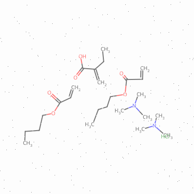 C=C(CC)C(=O)O.C=CC(=O)OCCCC.C=CC(=O)OCCCC.CN(C)C.CN(C)C.Cl